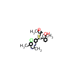 C=C(/C=C\c1ccc(Cl)cc1CC)/C=C/c1cccc([C@@H](CCc2ccccc2C(C)(C)O)SCC2(CC(C)=O)CC2)c1